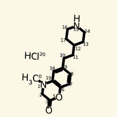 CN1CC(=O)Oc2ccc(CCC3CCNCC3)cc21.Cl